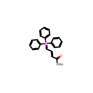 COC(=O)C=CC=P(c1ccccc1)(c1ccccc1)c1ccccc1